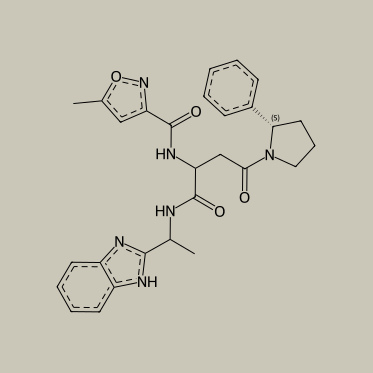 Cc1cc(C(=O)NC(CC(=O)N2CCC[C@H]2c2ccccc2)C(=O)NC(C)c2nc3ccccc3[nH]2)no1